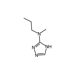 CCCN(C)c1nnc[nH]1